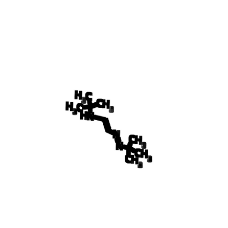 CC(C)(C)/N=N/C=C/NC(C)(C)C